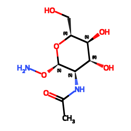 CC(=O)N[C@@H]1[C@H](ON)O[C@H](CO)[C@@H](O)[C@@H]1O